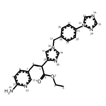 CCOC(=O)C(Cc1ccc(N)nc1)c1cn(Cc2ccc(-n3cncn3)cc2)cn1